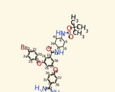 CC(C)(C)OC(=O)NC1CCC(NC(=O)c2cc(Oc3ccc(Br)cc3)cc(Oc3ccc(C(=N)N)cc3)c2)CC1